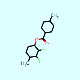 CC1CCC(C(=O)OC2CCC(C)C(F)C2F)CC1